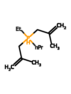 C=C(C)C[PH](CC)(CCC)CC(=C)C